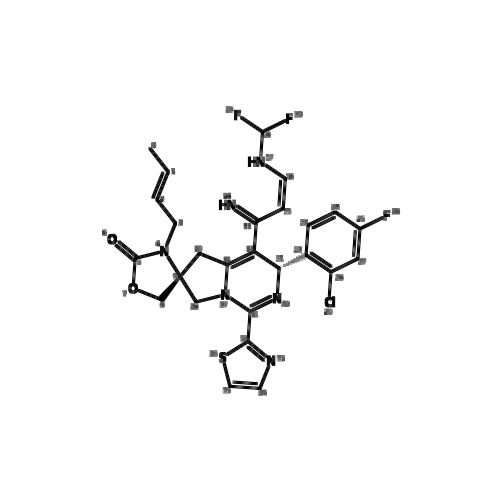 C/C=C/CN1C(=O)OC[C@]12CC1=C(C(=N)/C=C\NC(F)F)[C@H](c3ccc(F)cc3Cl)N=C(c3nccs3)N1C2